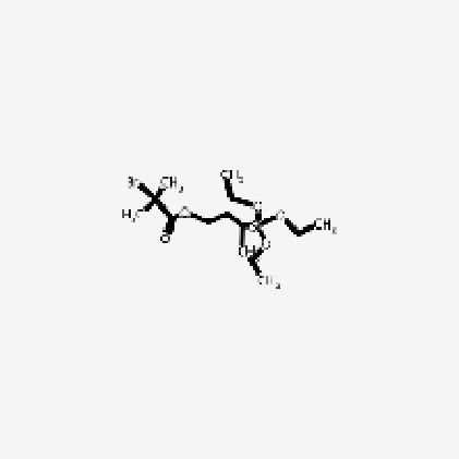 CCO[Si](OCC)(OCC)C(C)CCOC(=O)C(C)(C)Br